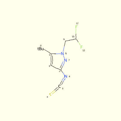 CC(C)(C)c1cc(N=C=S)nn1CC(F)F